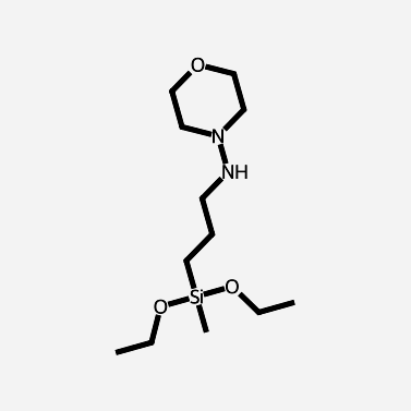 CCO[Si](C)(CCCNN1CCOCC1)OCC